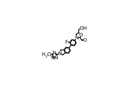 Cn1nnc(N2Cc3ccc(-c4ccc(N5CC(CO)OC5C=O)cc4F)cc3C2)n1